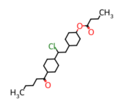 CCCCC(=O)C1CCC(C(Cl)CC2CCC(OC(=O)CCC)CC2)CC1